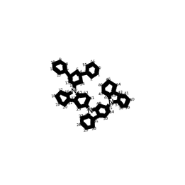 c1ccc(-c2cc(-c3ccccc3)cc(-n3c4ccccc4c4cc(-n5c6ccccc6c6ccc(-n7c8ccccc8c8ccccc87)cc65)ccc43)c2)cc1